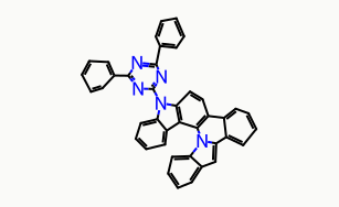 c1ccc(-c2nc(-c3ccccc3)nc(-n3c4ccccc4c4c3ccc3c5ccccc5c5cc6ccccc6n5c34)n2)cc1